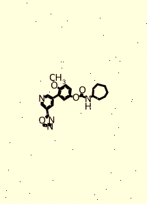 COc1ccc(OC(=O)NC2CCCCCC2)cc1-c1cncc(-c2nnco2)c1